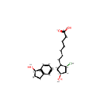 O=C(O)CCCCCC[C@@H]1[C@@H](c2ccc3c(c2)CCC3O)[C@H](O)C[C@@H]1Cl